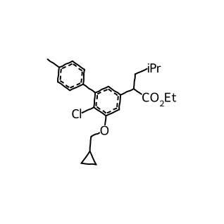 CCOC(=O)C(CC(C)C)c1cc(OCC2CC2)c(Cl)c(-c2ccc(C)cc2)c1